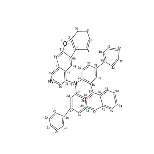 C1=Cc2c(oc3cc4cncc(N(c5cccc(-c6ccccc6)c5)c5ccc(-c6ccccc6)cc5-c5cccc6ccccc56)c4cc23)CC1